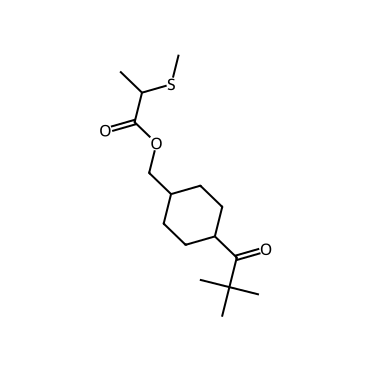 CSC(C)C(=O)OCC1CCC(C(=O)C(C)(C)C)CC1